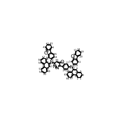 c1ccc2c(c1)cc(N(c1ccc3c(c1)oc1ccccc13)c1ccc3c(c1)oc1cc(N(c4ccc5c(c4)oc4ccccc45)c4cc5ccccc5c5ccccc45)nnc13)c1ccccc12